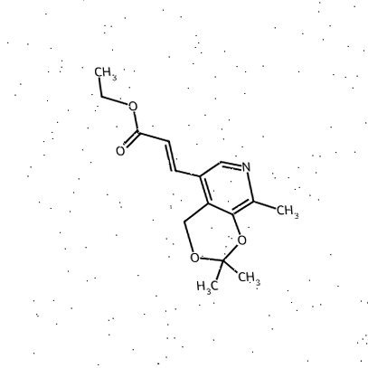 CCOC(=O)/C=C/c1cnc(C)c2c1COC(C)(C)O2